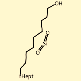 CCCCCCCCCCCCCCCCO.O=[Si]=O